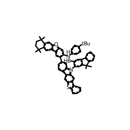 CC(C)(C)c1ccc(Nc2cc3oc4cc5c(cc4c3cc2-c2ccc3c4cc6sc7ccccc7c6cc4n4c3c2Bc2cc3c(cc2-4)C(C)(C)c2ccccc2-3)C(C)(C)CCC5(C)C)cc1